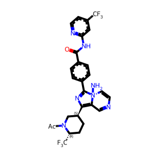 CC(=O)N1C[C@@H](C2=C3C=NC=C[N+]3(N)C(c3ccc(C(=O)Nc4cc(C(F)(F)F)ccn4)cc3)=N2)CC[C@@H]1C(F)(F)F